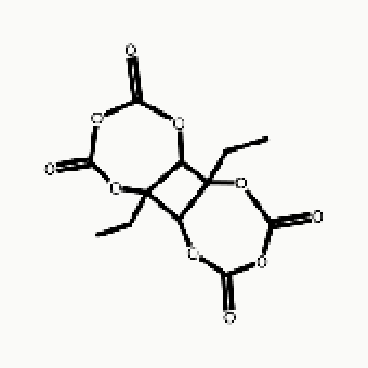 CCC12OC(=O)OC(=O)OC1C1(CC)OC(=O)OC(=O)OC21